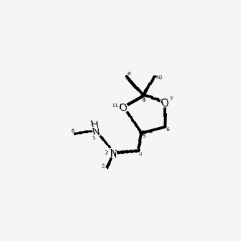 CNN(C)CC1COC(C)(C)O1